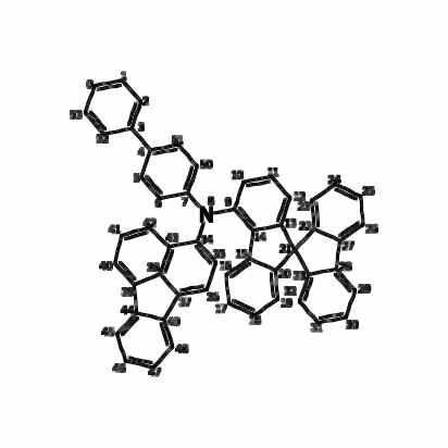 c1ccc(-c2ccc(N(c3cccc4c3-c3ccccc3C43c4ccccc4-c4ccccc43)c3ccc4c5c(cccc35)-c3ccccc3-4)cc2)cc1